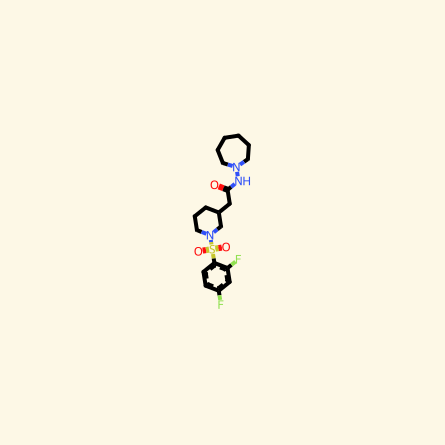 O=C(CC1CCCN(S(=O)(=O)c2ccc(F)cc2F)C1)NN1CCCCCC1